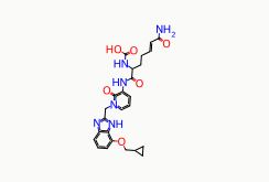 NC(=O)C=CCCC(NC(=O)O)C(=O)Nc1cccn(Cc2nc3cccc(OCC4CC4)c3[nH]2)c1=O